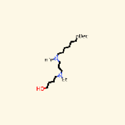 CCCCCCCCCCCCCCCCN(CCC)CCCN(CC)CCCCO